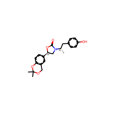 C[C@@H](Cc1ccc(O)cc1)N1C[C@@H](c2ccc3c(c2)COC(C)(C)O3)OC1=O